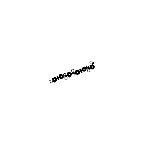 COc1ccc(C(C)(C)c2ccc(OC(=O)c3ccc(C(=O)Oc4ccc(C(C)(C)c5ccc(OC(=O)c6cccc(C(C)=O)c6)cc5)cc4)cc3)cc2)cc1